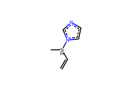 C=C[SiH](C)n1ccnc1